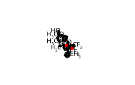 Cc1ccccc1Oc1ccc(CN(C)C[C@H]2Oc3c(NC(=O)Cc4cc(C(F)(F)F)cc(C(F)(F)F)c4)cccc3C(=O)N([C@@H](C)CO)C[C@H]2C)cc1